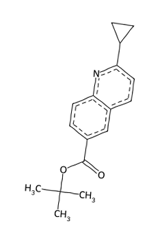 CC(C)(C)OC(=O)c1ccc2nc(C3CC3)ccc2c1